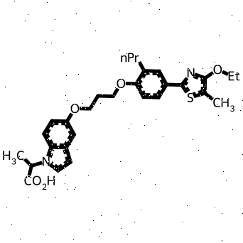 CCCc1cc(-c2nc(OCC)c(C)s2)ccc1OCCCOc1ccc2c(ccn2C(C)C(=O)O)c1